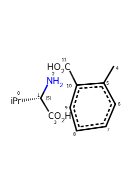 CC(C)[C@H](N)C(=O)O.Cc1ccccc1C(=O)O